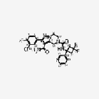 NC(=O)c1c(-c2ccc(F)c(Cl)c2)nn2c1CN(C(=O)NC1(c3cccnc3)CC(F)(F)C1)CC2